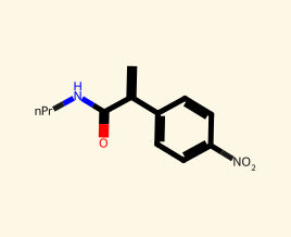 C=C(C(=O)NCCC)c1ccc([N+](=O)[O-])cc1